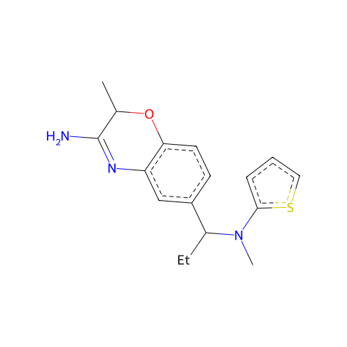 CCC(c1ccc2c(c1)N=C(N)C(C)O2)N(C)c1cccs1